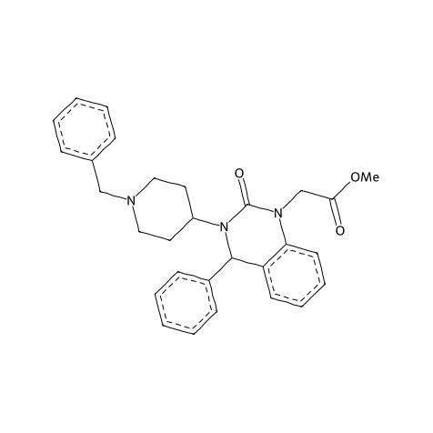 COC(=O)CN1C(=O)N(C2CCN(Cc3ccccc3)CC2)C(c2ccccc2)c2ccccc21